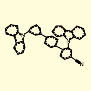 N#Cc1ccc(-c2ccc(-c3cccc(-n4c5ccccc5c5ccccc54)c3)cc2)c(-n2c3ccccc3c3ccccc32)c1